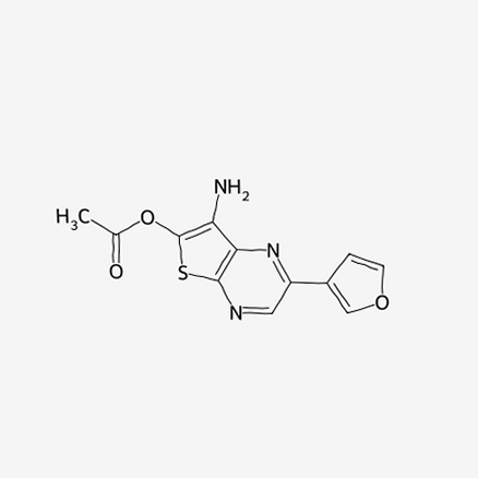 CC(=O)Oc1sc2ncc(-c3ccoc3)nc2c1N